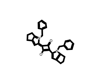 O=C1C(c2cc3c(n2Cc2ccccc2)CCC3)=C([O-])/C1=C1\C=C2CCCC2=[N+]1Cc1ccccc1